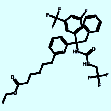 CCOC(=O)CCCCCc1cccc([C@@](Cc2ccccc2)(NC(=O)NCC(F)(F)F)c2cc(F)cc(C(F)(F)F)c2)c1